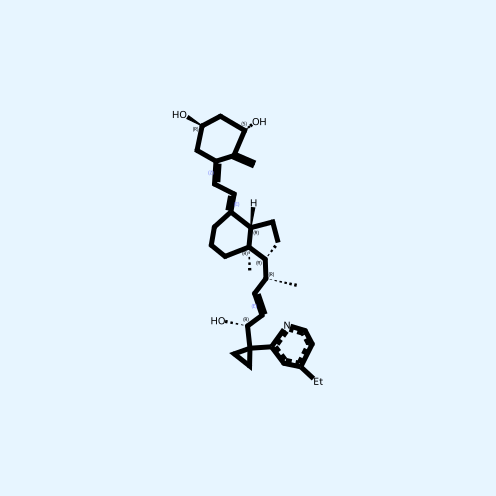 C=C1/C(=C\C=C2/CCC[C@]3(C)[C@@H]([C@H](C)/C=C/[C@@H](O)C4(c5cc(CC)ccn5)CC4)CC[C@@H]23)C[C@@H](O)C[C@@H]1O